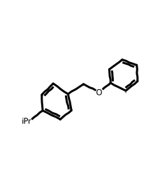 CC(C)c1ccc(COc2[c]cccc2)cc1